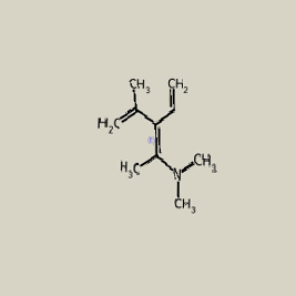 C=C/C(C(=C)C)=C(/C)N(C)C